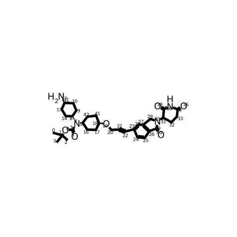 CC(C)(C)OC(=O)N([C@H]1CC[C@H](N)CC1)[C@H]1CC[C@H](OCC#Cc2ccc3c(c2)CN(C2CCC(=O)NC2=O)C3=O)CC1